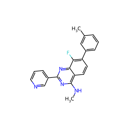 CNc1nc(-c2cccnc2)nc2c(F)c(-c3cccc(C)c3)ccc12